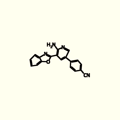 N#Cc1ccc(-c2cnc(N)c(-c3nc4ccccc4o3)c2)cc1